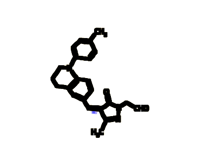 CC1=NN(CC=O)C(=O)/C1=C\c1ccc2c(c1)CCCN2c1ccc(C)cc1